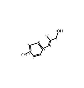 OC/C(F)=C/c1ccc(Cl)cc1